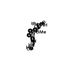 COc1nc(-c2cccc(-c3cccc(-c4cn5nc(CNC[C@@H]6CCC(=O)N6)nc5cn4)c3Cl)c2Cl)ccc1CN(C[C@@H]1CCC(=O)N1)C(=O)OC(C)(C)C